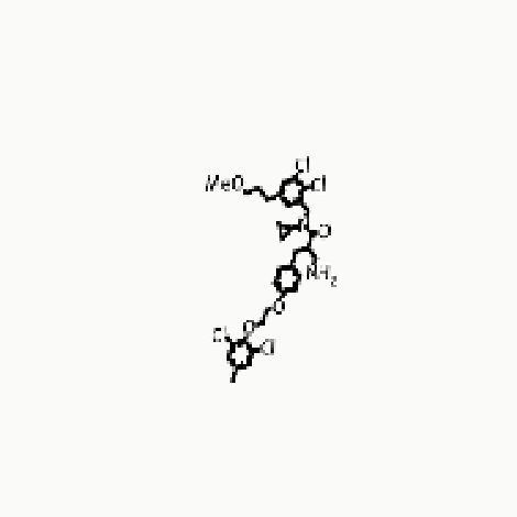 COCCCc1cc(Cl)c(Cl)c(CN(C(=O)C(CN)Cc2ccc(OCCOc3c(Cl)cc(C)cc3Cl)cc2)C2CC2)c1